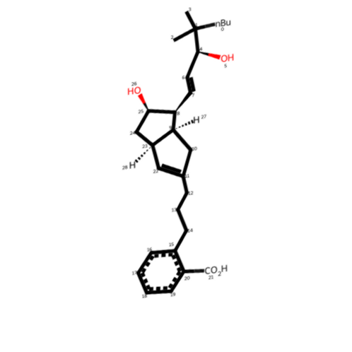 CCCCC(C)(C)[C@@H](O)/C=C/[C@H]1[C@H]2CC(CCCc3ccccc3C(=O)O)=C[C@H]2C[C@H]1O